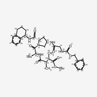 C[C@@H](C(=O)N[C@H](C(=O)N1C[C@@H](NC(=O)CNC(=O)OCc2ccccc2)C[C@H]1C(=O)N[C@@H]1CCCc2ccccc21)C(C)(C)C)N(C)C(=O)OC(C)(C)C